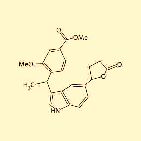 COC(=O)c1ccc(C(C)c2c[nH]c3ccc(C4CCC(=O)O4)cc23)c(OC)c1